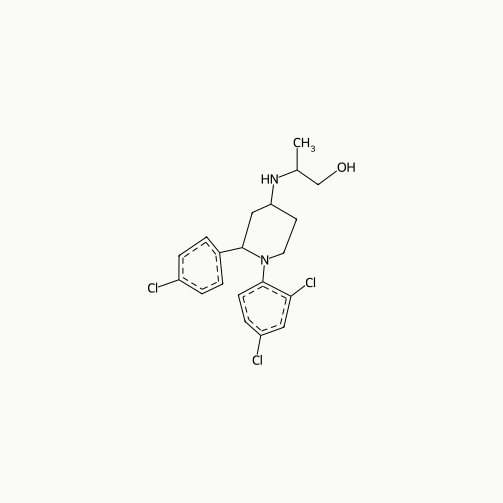 CC(CO)NC1CCN(c2ccc(Cl)cc2Cl)C(c2ccc(Cl)cc2)C1